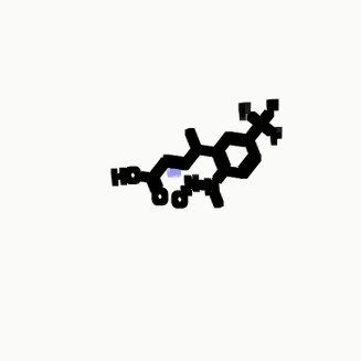 CC(/C=C/C(=O)O)c1cc(C(F)(F)F)ccc1N(C)N=O